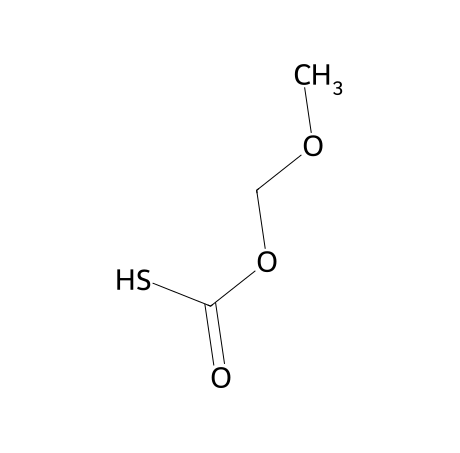 COCOC(=O)S